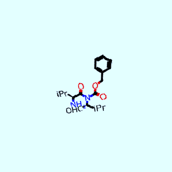 CC(C)[C@H](N)C(=O)N(C(=O)OCc1ccccc1)[C@H](C=O)C(C)C